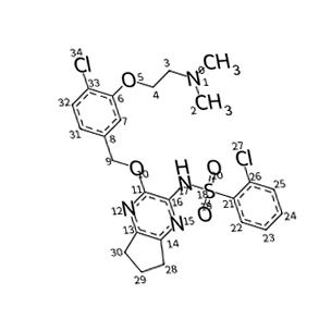 CN(C)CCOc1cc(COc2nc3c(nc2NS(=O)(=O)c2ccccc2Cl)CCC3)ccc1Cl